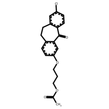 CC(=O)OCCCOc1ccc2c(c1)C(=O)c1ccc(Cl)cc1CC2